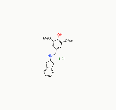 COc1cc(CNC2Cc3ccccc3C2)cc(OC)c1O.Cl